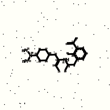 C=C(C)c1cccc(CC(C)N/C(=C\C)CC2CCC(N(CCC)CCC)CC2)c1C